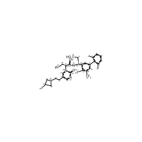 Cc1cccc(C)c1-c1cc([C@H](CC(=O)O)NC(=O)[C@H](CC(C)C)n2cc(CCN3CC(F)C3)cnc2=O)c(F)c(C(F)(F)F)c1